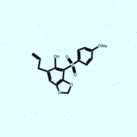 C=CCc1cc2c(c(S(=O)(=O)c3ccc(OC)cc3)c1O)OCO2